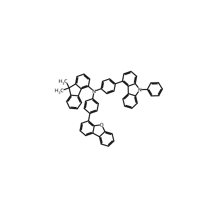 CC1(C)c2ccccc2-c2c(N(c3ccc(-c4cccc5c4oc4ccccc45)cc3)c3ccc(-c4cccc5c4c4ccccc4n5-c4ccccc4)cc3)cccc21